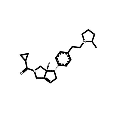 CC1CCCN1CCc1ccc([C@@H]2CC=C3CN(C(=O)C4CC4)C[C@@H]32)cc1